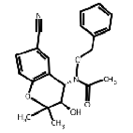 CC(=O)N(OCc1ccccc1)[C@H]1c2cc(C#N)ccc2OC(C)(C)[C@@H]1O